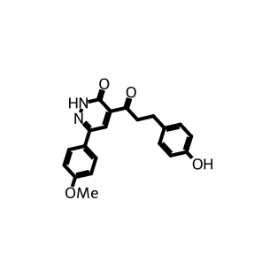 COc1ccc(-c2cc(C(=O)CCc3ccc(O)cc3)c(=O)[nH]n2)cc1